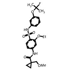 CCOc1cc(NC(=O)C2(COC)CC2)ccc1S(=O)(=O)Nc1cccc(OC(C)(C)F)c1